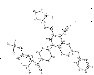 CC(C)[C@@H](NC(=O)OC(C)(C)C)C(=O)N1CCN(c2nc(OC[C@@H]3CCCN3C)c(C#N)c3c2CCN(Cc2ccccc2)C3)CC1